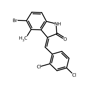 Cc1c(Br)ccc2c1C(=Cc1ccc(Cl)cc1Cl)C(=O)N2